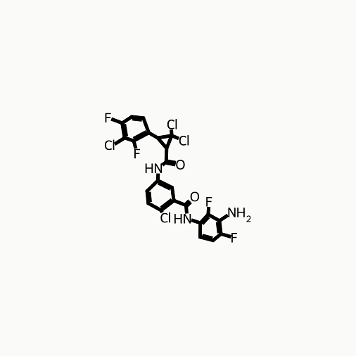 Nc1c(F)ccc(NC(=O)c2cc(NC(=O)C3C(c4ccc(F)c(Cl)c4F)C3(Cl)Cl)ccc2Cl)c1F